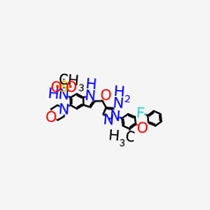 Cc1cc(-n2ncc(C(=O)c3cc4cc(N5CCOCC5)c(NS(C)(=O)=O)cc4[nH]3)c2N)ccc1Oc1ccccc1F